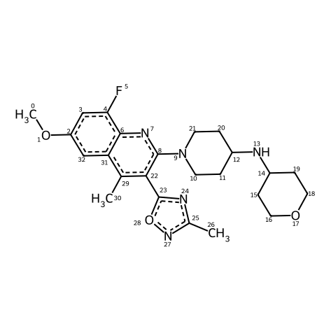 COc1cc(F)c2nc(N3CCC(NC4CCOCC4)CC3)c(-c3nc(C)no3)c(C)c2c1